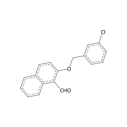 O=Cc1c(OCc2cccc(Cl)c2)ccc2ccccc12